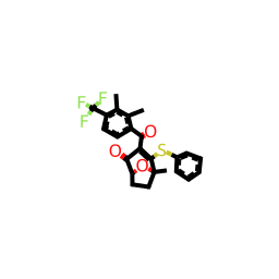 Cc1c(C(=O)C2=C(Sc3ccccc3)C3(C)CCC(O3)C2=O)ccc(C(F)(F)F)c1C